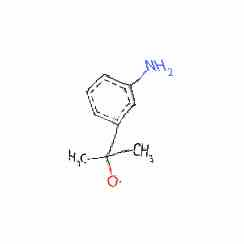 CC(C)([O])c1cccc(N)c1